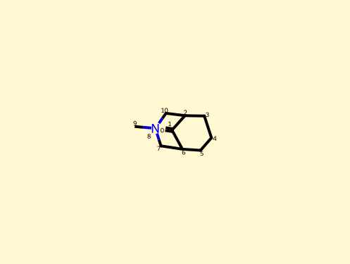 C=C1C2CCCC1CN(C)C2